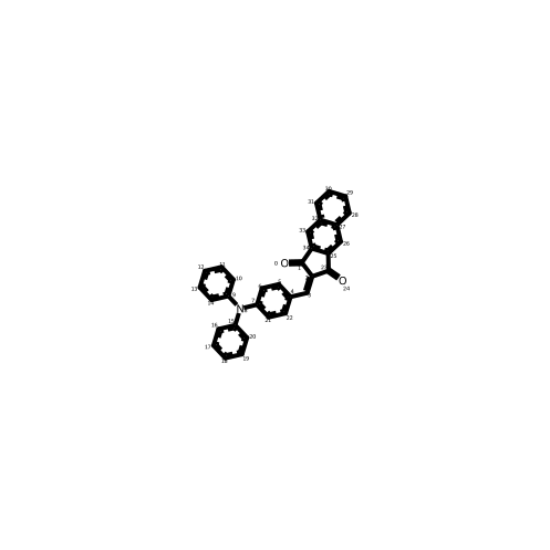 O=C1C(=Cc2ccc(N(c3ccccc3)c3ccccc3)cc2)C(=O)c2cc3ccccc3cc21